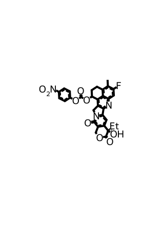 CC[C@@]1(O)C(=O)OCc2c1cc1n(c2=O)Cc2c-1nc1cc(F)c(C)c3c1c2C(OC(=O)Oc1ccc([N+](=O)[O-])cc1)CC3